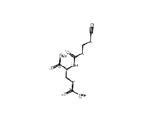 C#CCCCC(=O)N[C@@H](CCC(=O)OC)C(=O)OC